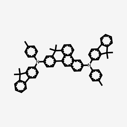 Cc1ccc(N(c2ccc3c(c2)C(C)(C)c2ccccc2-3)c2ccc3c(c2)C(C)(C)c2cccc4c2c-3cc2ccc(N(c3ccc(C)cc3)c3ccc5c(c3)C(C)(C)c3ccccc3-5)cc24)cc1